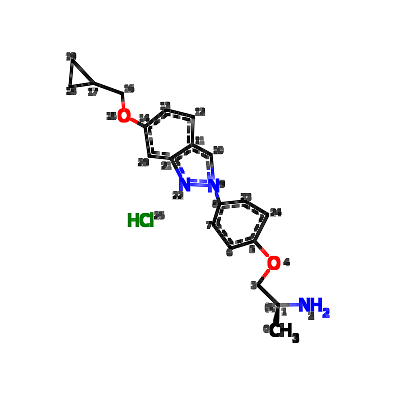 C[C@H](N)COc1ccc(-n2cc3ccc(OCC4CC4)cc3n2)cc1.Cl